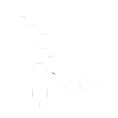 CCOC(=O)c1cc2cc(NC(=O)[C@H]3[C@H](C4CCC(OC)CC4)CCN3C(=O)C3CCC([C@@H](CF)NC(=O)OC(C)(C)C)CC3)ccc2o1